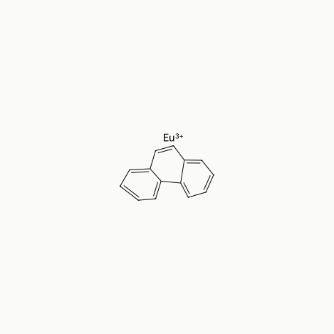 [Eu+3].c1ccc2c(c1)ccc1ccccc12